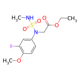 CCOC(=O)CN(c1ccc(OC)c(I)c1)S(=O)(=O)NC